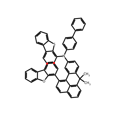 CC1(C)c2ccc(N(c3ccc(-c4ccccc4)cc3)c3cccc4c3sc3ccccc34)cc2-c2c(-c3cccc4c3oc3ccccc34)ccc3cccc1c23